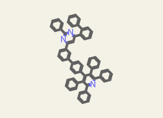 c1ccc(-c2nc(-c3cccc(-c4ccc(-c5c(-c6ccccc6)c(-c6ccccc6)nc(-c6ccccc6)c5-c5ccccc5)cc4)c3)cc(-c3ccccc3-c3ccccc3)n2)cc1